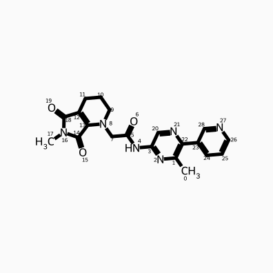 Cc1nc(NC(=O)CN2CCCC3=C2C(=O)N(C)C3=O)cnc1-c1cccnc1